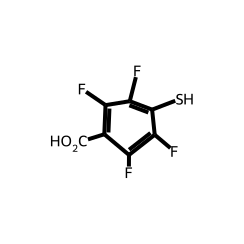 O=C(O)c1c(F)c(F)c(S)c(F)c1F